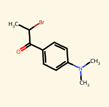 CC(Br)C(=O)c1ccc(N(C)C)cc1